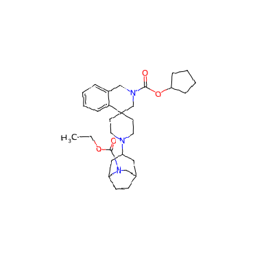 CCOC(=O)N1CC2CCC1CC(N1CCC3(CC1)CN(C(=O)OC1CCCC1)Cc1ccccc13)C2